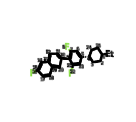 CC[C@H]1CC[C@H](c2cc(F)c(-c3ccc4cc(F)ccc4c3)c(F)c2)CC1